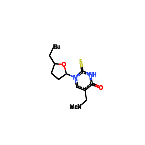 CCC(C)CC1CCC(n2cc(CNC)c(=O)[nH]c2=S)O1